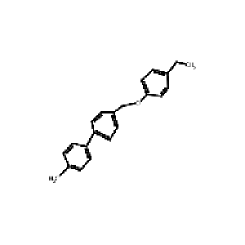 CCc1ccc(OCc2ccc(-c3ccc(C)cc3)cc2)cc1